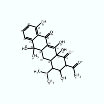 CN(C)C1C(O)C(C(N)=O)C(=O)C2(O)C(O)=C3C(=O)c4c(O)cccc4C(C)(O)C3CC12